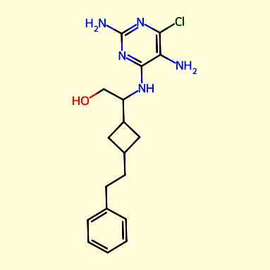 Nc1nc(Cl)c(N)c(NC(CO)C2CC(CCc3ccccc3)C2)n1